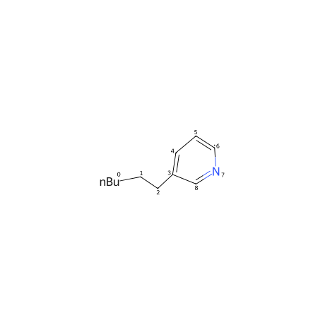 CCCCCCc1cc[c]nc1